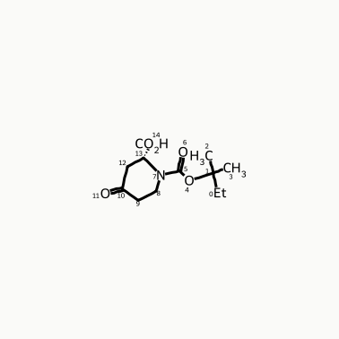 CCC(C)(C)OC(=O)N1CCC(=O)C[C@@H]1C(=O)O